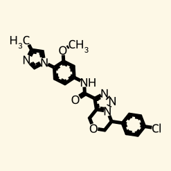 COc1cc(NC(=O)c2nnn3c2COCC3c2ccc(Cl)cc2)ccc1-n1cnc(C)c1